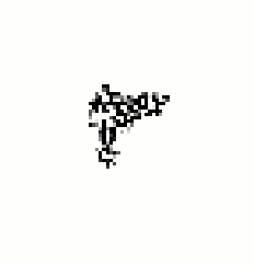 COc1nn(C2CCNCC2)cc1-c1cnc2c(c1)c(-c1ccnc(C(F)F)c1)cn2S(=O)(=O)c1ccc(C)cc1